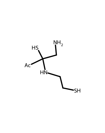 CC(=O)C(S)(CN)NCCS